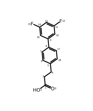 O=C(O)CCc1ccc(-c2cc(F)cc(F)c2)cc1